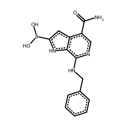 NC(=O)c1cnc(NCc2ccccc2)c2[nH]c(B(O)O)cc12